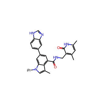 Cc1cc(C)c(CNC(=O)c2cc(-c3ccc4[nH]cnc4c3)cc3c2c(C)cn3C(C)C)c(=O)[nH]1